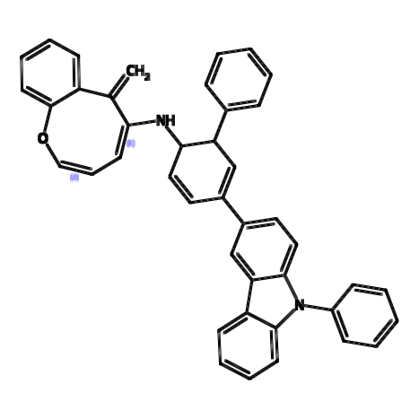 C=C1/C(NC2C=CC(c3ccc4c(c3)c3ccccc3n4-c3ccccc3)=CC2c2ccccc2)=C\C=C/Oc2ccccc21